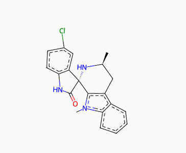 C[C@H]1Cc2c(n(C)c3ccccc23)[C@@]2(N1)C(=O)Nc1ccc(Cl)cc12